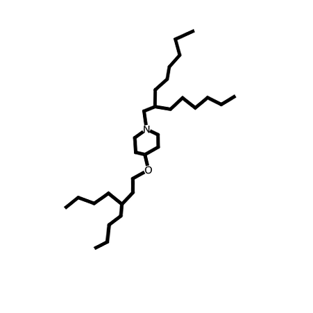 CCCCCCC(CCCCCC)CN1CCC(OCCC(CCCC)CCCC)CC1